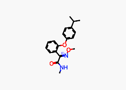 CNC(=O)/C(=N/OC)c1ccccc1Oc1ccc(C(C)C)cc1